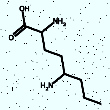 CCCC(N)CCC(N)C(=O)O